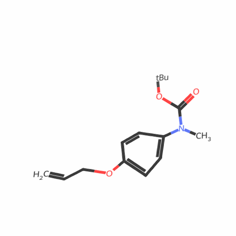 C=CCOc1ccc(N(C)C(=O)OC(C)(C)C)cc1